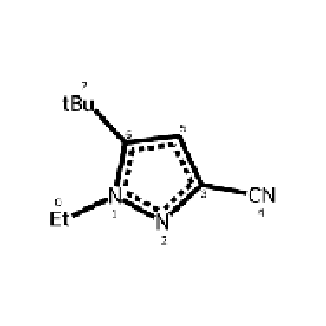 CCn1nc(C#N)cc1C(C)(C)C